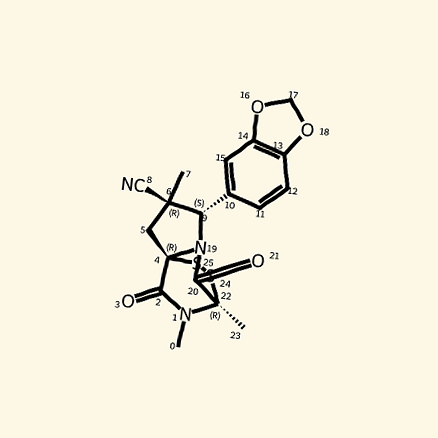 CN1C(=O)[C@]23C[C@@](C)(C#N)[C@H](c4ccc5c(c4)OCO5)N2C(=O)[C@@]1(C)SS3